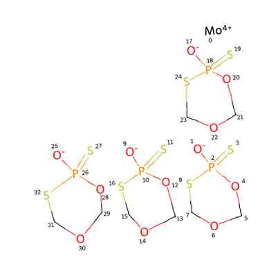 [Mo+4].[O-]P1(=S)OCOCS1.[O-]P1(=S)OCOCS1.[O-]P1(=S)OCOCS1.[O-]P1(=S)OCOCS1